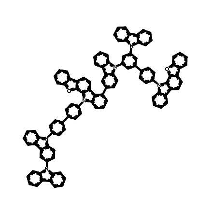 c1ccc2c(c1)oc1c2ccc2c3ccccc3n(-c3ccc(-c4cc(-n5c6ccccc6c6ccccc65)cc(-n5c6ccccc6c6cc(-c7cccc8c7c7ccc9c%10ccccc%10oc9c7n8-c7ccc(-c8ccc(-n9c%10ccccc%10c%10cc(-n%11c%12ccccc%12c%12ccccc%12%11)ccc%109)cc8)cc7)ccc65)c4)cc3)c21